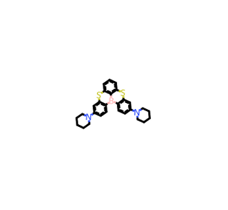 c1cc2c3c(c1)Sc1cc(N4CCCCC4)ccc1B3c1ccc(N3CCCCC3)cc1S2